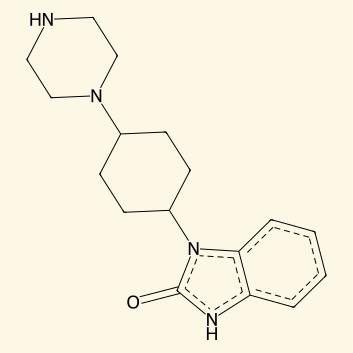 O=c1[nH]c2ccccc2n1C1CCC(N2CCNCC2)CC1